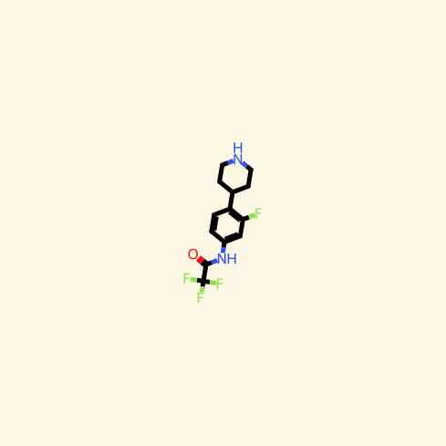 O=C(Nc1ccc(C2CCNCC2)c(F)c1)C(F)(F)F